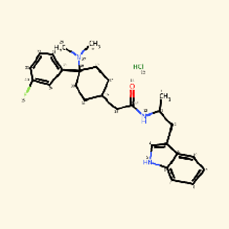 CC(Cc1c[nH]c2ccccc12)NC(=O)CC1CCC(c2cccc(F)c2)(N(C)C)CC1.Cl